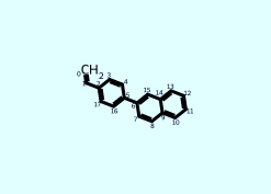 C=Cc1ccc(-c2ccc3ccccc3c2)cc1